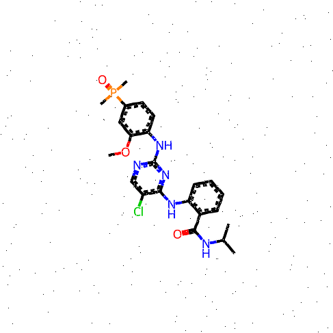 COc1cc(P(C)(C)=O)ccc1Nc1ncc(Cl)c(Nc2ccccc2C(=O)NC(C)C)n1